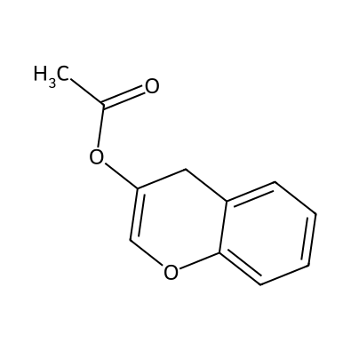 CC(=O)OC1=COc2ccccc2C1